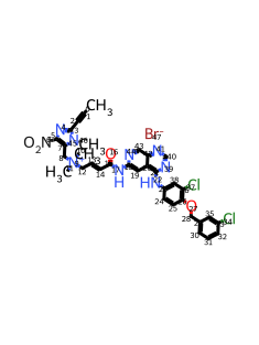 CC#Cc1nc([N+](=O)[O-])c(C[N+](C)(C)C/C=C/C(=O)Nc2cc3c(Nc4ccc(OCc5cccc(Cl)c5)c(Cl)c4)ncnc3cn2)n1C.[Br-]